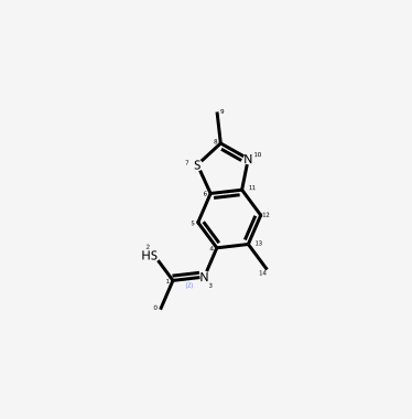 C/C(S)=N/c1cc2sc(C)nc2cc1C